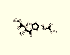 CNC(=O)NC[C@H]1CCN(C(=O)[C@H](C)N(C)C(=O)OC(C)(C)C)C1